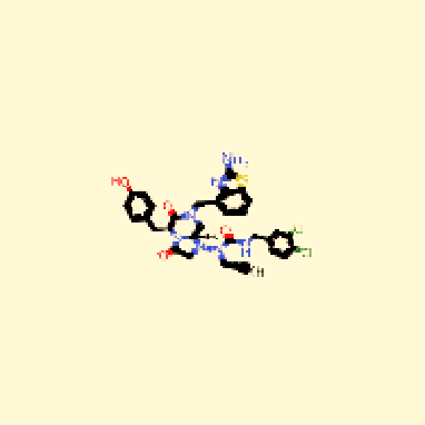 C#CCN(C(=O)NCc1ccc(Cl)c(Cl)c1)N1CC(=O)N2[C@@H](Cc3ccc(O)cc3)C(=O)N(Cc3cccc4sc(N)nc34)C[C@@H]21